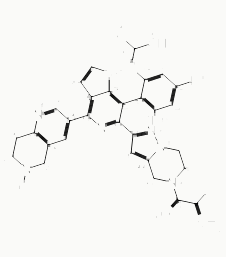 C=C(F)C(=O)N1CCn2nc(-c3nc(-c4cnc5c(c4)CN(C)CC5)c4ccsc4c3-c3c(F)cc(F)cc3OC(C)C)cc2C1